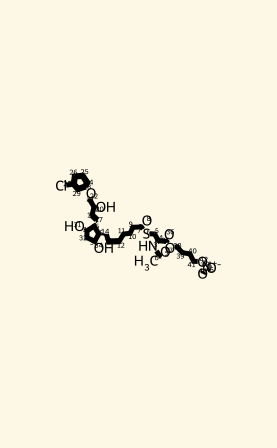 CC(=O)NC(CSC(=O)CCC/C=C\C[C@@H]1[C@@H](/C=C/[C@@H](O)COc2cccc(Cl)c2)[C@H](O)C[C@@H]1O)C(=O)OCCCCO[N+](=O)[O-]